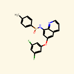 Cc1ccc([S+]([O-])Nc2cc(Oc3cc(F)cc(F)c3)cc3cccnc23)cc1